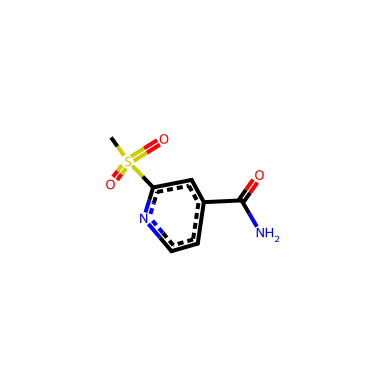 CS(=O)(=O)c1cc(C(N)=O)ccn1